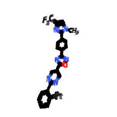 CC(C)c1ccccc1-c1ncc(-c2nc(-c3ccc(-c4nc(C(F)(F)F)cn4C)cc3)no2)cn1